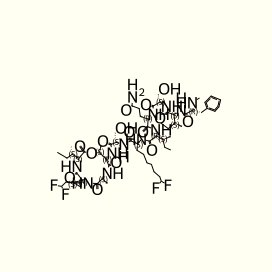 CC[C@H](C)[C@H](NC(=O)[C@@H](Cc1ccccc1)NC)C(=O)N[C@@H](CO)C(=O)N[C@H](CCC(N)=O)C(=O)N[C@@H](C(=O)N[C@@H](CCCCCCC(F)F)C(=O)N[C@@H](CO)C(=O)N[C@H]1C(=O)N[C@@H](C)C(=O)N[C@@]2(C[C@H]2CC(F)F)C(=O)N[C@@H]([C@@H](C)CC)C(=O)O[C@H]1C)[C@@H](C)CC